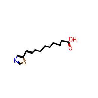 O=C(O)CCCCCCCC=Cc1cncs1